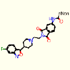 CCCCCCCCCC(=O)Nc1ccc2c(c1)C(=O)N(CCN1CCC(c3onc4cc(F)ccc34)CC1)C2=O